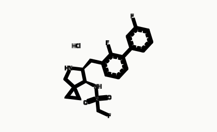 Cl.O=S(=O)(CF)N[C@@H]1[C@H](Cc2cccc(-c3cccc(F)c3)c2F)NCC12CC2